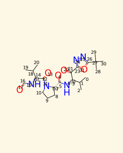 CC(C)[C@H](NC(=O)[C@@H]1CCCN1C(=O)[C@@H](NC=O)C(C)C)C(=O)c1nnc(C(C)(C)C)o1